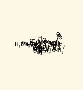 CC[C@H](C)C([C@@H](CC(=O)N1C[C@@H](OC(=O)NCCNC(=O)OCc2ccc(NC(=O)C(CCCNC(N)=O)CC(=O)[C@@H](NC(=O)CCCCCN3C(=O)C=CC3=O)C(C)C)cc2)C[C@H]1[C@H](OC)[C@@H](C)C(=O)NCC(=O)c1ccc2cc(OC)ccc2c1)OC)N(C)C(=O)[C@@H](NC(=O)[C@H](C(C)C)N(C)C)C(C)C